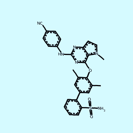 Cc1cc(-c2ccccc2S(N)(=O)=O)cc(C)c1Oc1nc(Nc2ccc(C#N)cc2)nc2ccn(C)c12